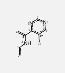 C=CNC(=C)c1ncncc1C